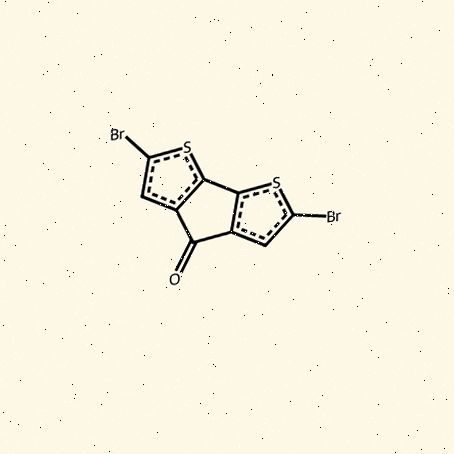 O=C1c2cc(Br)sc2-c2sc(Br)cc21